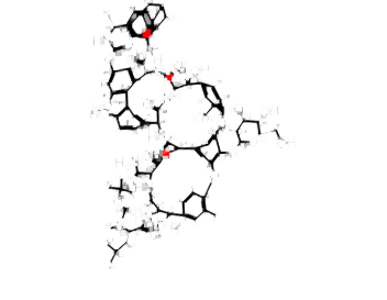 Cc1cc2ccc1Oc1cc3cc(c1OC1O[C@H](CO)[C@@H](O)[C@H](O)[C@H]1O)Oc1ccc(cc1Cl)[C@@H](O)[C@@H]1NC(=O)[C@@H](NC(=O)[C@@H]3NC(=O)C(C(N)=O)NC(=O)[C@H](NC(=O)[C@@H](CC(C)C)N(C)C(=O)OC(C)(C)C)[C@@H]2O)c2ccc(O)c(c2)-c2c(O)cc(OC(=O)N[C@@H](C)c3ccccc3)cc2[C@@H](C(=O)NC2C3CC4CC(C3)CC2C4)NC1=O